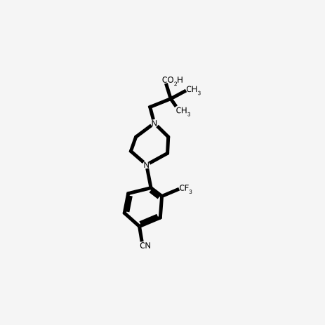 CC(C)(CN1CCN(c2ccc(C#N)cc2C(F)(F)F)CC1)C(=O)O